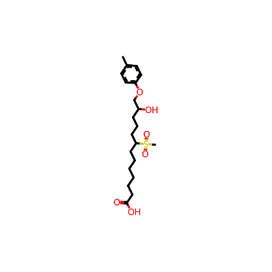 Cc1ccc(OCC(O)CCCC(CCCCCCC(=O)O)S(C)(=O)=O)cc1